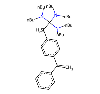 C=C(c1ccccc1)c1ccc([SiH2]C(N(CCCC)CCCC)(N(CCCC)CCCC)N(CCCC)CCCC)cc1